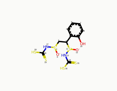 [O-][S+](CC(c1ccccc1O)[S+]([O-])NC(=S)S)NC(=S)S